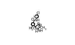 CC1C(=N)N[C@](C)(c2cc(C(=O)Nc3ccc(Cl)cn3)ccc2F)CS1(=O)=O